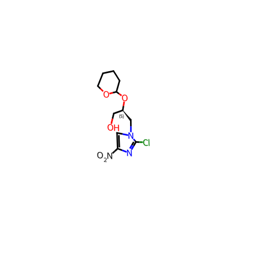 O=[N+]([O-])c1cn(C[C@@H](CO)OC2CCCCO2)c(Cl)n1